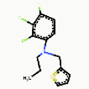 CCCN(Cc1cccs1)c1ccc(F)c(F)c1F